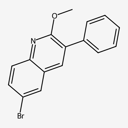 COc1nc2ccc(Br)cc2cc1-c1ccccc1